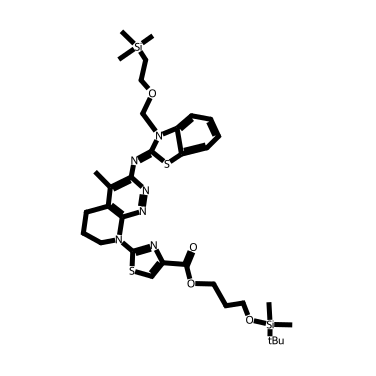 Cc1c(/N=c2\sc3ccccc3n2COCC[Si](C)(C)C)nnc2c1CCCN2c1nc(C(=O)OCCCO[Si](C)(C)C(C)(C)C)cs1